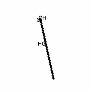 CCCCCCCCCCCCCCCCCCCCCCCCCCCC(O)CCCCCCCCCCCCCCCCCC(=O)O